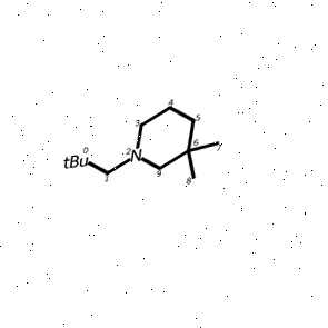 CC(C)(C)CN1CCCC(C)(C)C1